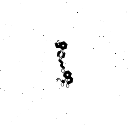 CC(C)C(=O)n1c(=O)ccc2ccc(OCCCCN3CCN(c4cccc5sccc45)CC3)cc21